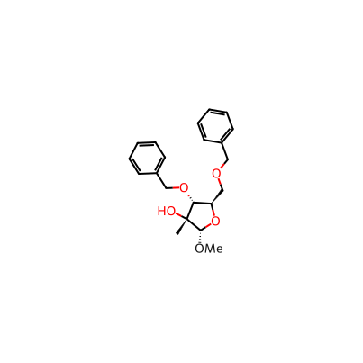 CO[C@H]1O[C@H](COCc2ccccc2)[C@@H](OCc2ccccc2)[C@@]1(C)O